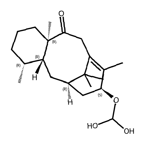 CC1=C2CC(=O)[C@]3(C)CCC[C@@H](C)[C@H]3C[C@H](C[C@@H]1OC(O)O)C2(C)C